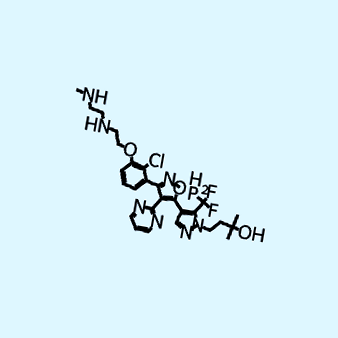 CNCCNCCOc1cccc(-c2noc(-c3cnn(CCC(C)(C)O)c3C(F)(F)P)c2-c2ncccn2)c1Cl